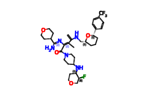 C=C(NC[C@H]1CCC[C@@H](c2ccc(C(F)(F)F)cc2)O1)/C(C)=C(\N=C(/N)C1CCOCC1)C(=O)N1CCC(N[C@@H]2CCOC[C@@H]2F)CC1